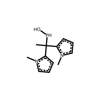 Cn1cccc1C(C)(PO)c1cccn1C